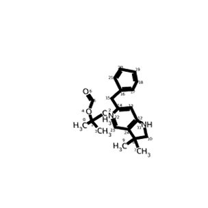 CC(C)(C)OC=O.CC1(C)CNc2cc(Cc3ccccc3)ncc21